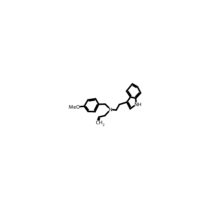 C=CCN(CCc1c[nH]c2ccccc12)Cc1ccc(OC)cc1